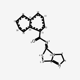 O=C(N=C1SSC2=NCCN21)c1cccc2ccccc12